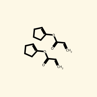 C=CC(=O)OC1=CCCC1.C=CC(=O)OC1=CCCC1